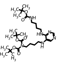 CC(C)(C)OC(=O)NCCCCNc1ncncc1NCCCCN(C(=O)OC(C)(C)C)C(=O)OC(C)(C)C